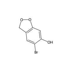 Oc1cc2c(cc1Br)COO2